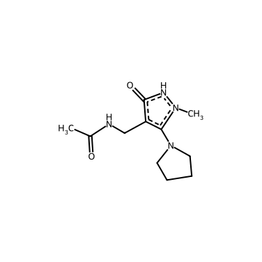 CC(=O)NCc1c(N2CCCC2)n(C)[nH]c1=O